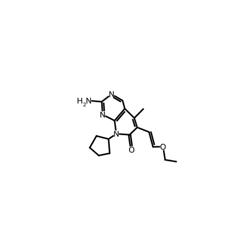 CCOC=Cc1c(C)c2cnc(N)nc2n(C2CCCC2)c1=O